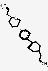 C=CCC1CC=C(c2ccc([C@H]3CC[C@H](CC=C)CC3)cc2)CC1